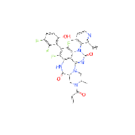 C=CC(=O)N1CC2C(=O)Nc3c(F)c(-c4c(O)ccc(F)c4F)c(F)c4c3c(nc(=O)n4-c3c(C)ccnc3C(C)C)N2CC1C